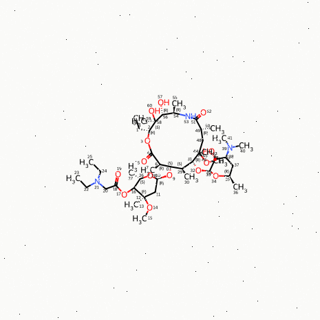 CC[C@H]1OC(=O)[C@H](C)[C@@H](O[C@H]2C[C@@](C)(OC)C(OC(=O)CN(CC)CC)[C@H](C)O2)[C@H](C)[C@@H](O[C@@H]2O[C@H](C)C[C@H](N(C)C)[C@H]2O)[C@](C)(OC)C[C@@H](C)C(=O)N[C@H](C)[C@@H](O)[C@]1(C)O